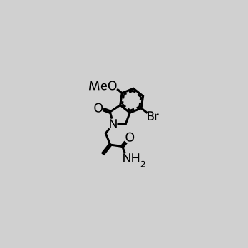 C=C(CN1Cc2c(Br)ccc(OC)c2C1=O)C(N)=O